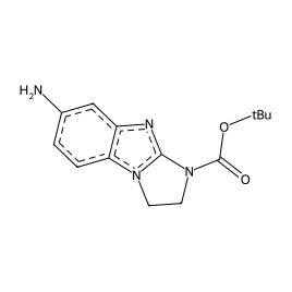 CC(C)(C)OC(=O)N1CCn2c1nc1cc(N)ccc12